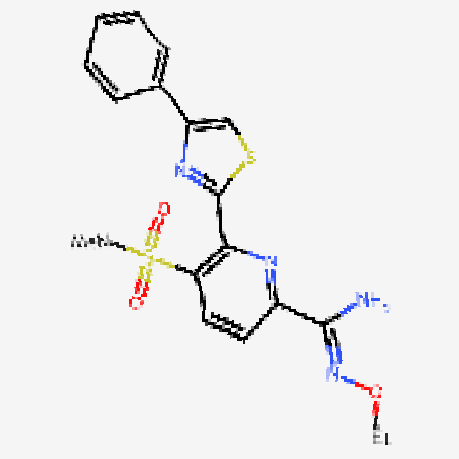 CCO/N=C(\N)c1ccc(S(=O)(=O)NC)c(-c2nc(-c3ccccc3)cs2)n1